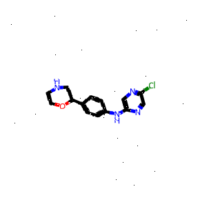 Clc1cnc(Nc2ccc(C3CNCCO3)cc2)cn1